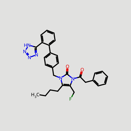 CCCCc1c(CF)n(C(=O)Cc2ccccc2)c(=O)n1Cc1ccc(-c2ccccc2-c2nnn[nH]2)cc1